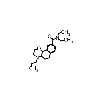 CCCN1CCOC2c3cc(C(=O)N(CC)CC)ccc3CCC21